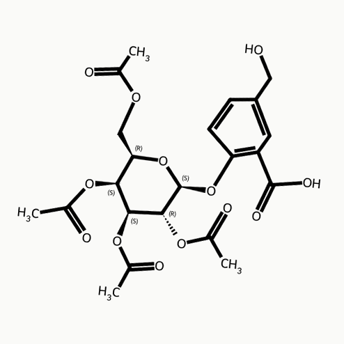 CC(=O)OC[C@H]1O[C@@H](Oc2ccc(CO)cc2C(=O)O)[C@H](OC(C)=O)[C@@H](OC(C)=O)[C@H]1OC(C)=O